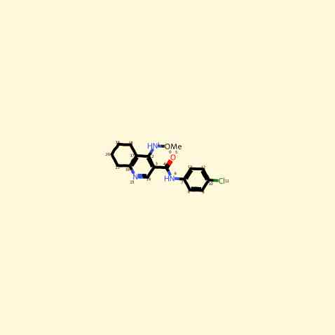 CONc1c(C(=O)Nc2ccc(Cl)cc2)cnc2c1CCCC2